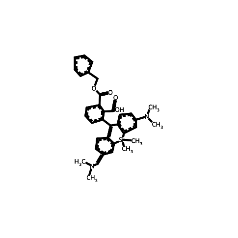 CN(C)/C=c1\ccc2c(c1)[Si](C)(C)c1cc(N(C)C)ccc1C=2c1cccc(C(=O)OCc2ccccc2)c1C(=O)O